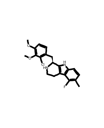 COc1ccc(C[C@@H]2NCCc3c2[nH]c2ccc(C)c(F)c32)c(Cl)c1OC